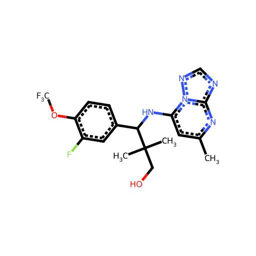 Cc1cc(NC(c2ccc(OC(F)(F)F)c(F)c2)C(C)(C)CO)n2ncnc2n1